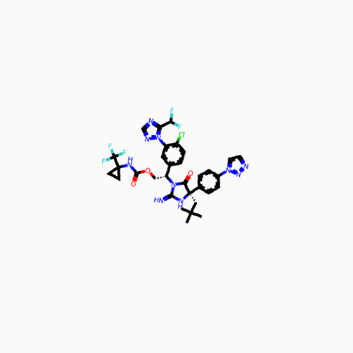 CC(C)(C)C[C@]1(c2ccc(-n3ccnn3)cc2)NC(=N)N([C@H](COC(=O)NC2(C(F)(F)F)CC2)c2ccc(Cl)c(-n3ncnc3C(F)F)c2)C1=O